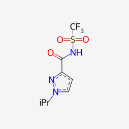 CC(C)n1ccc(C(=O)NS(=O)(=O)C(F)(F)F)n1